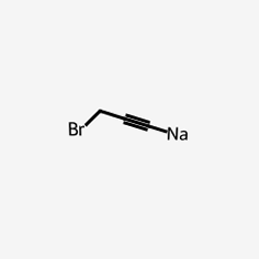 [Na][C]#CCBr